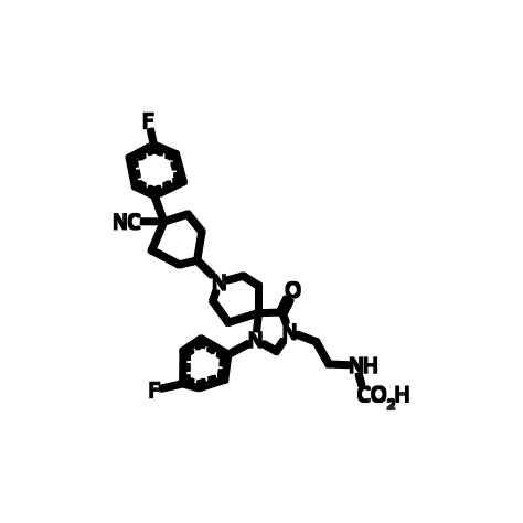 N#CC1(c2ccc(F)cc2)CCC(N2CCC3(CC2)C(=O)N(CCNC(=O)O)CN3c2ccc(F)cc2)CC1